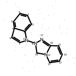 [c]1ccc2c(c1)ccn2N1CN2C=CC=CC2=N1